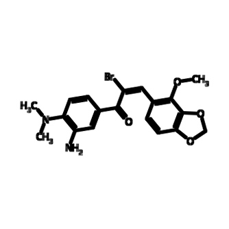 COc1c(/C=C(/Br)C(=O)c2ccc(N(C)C)c(N)c2)ccc2c1OCO2